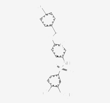 CCc1ccc(CSc2ccc(NS(=O)(=O)c3ccc(C(C)C)c(C(=O)O)c3)cn2)cc1